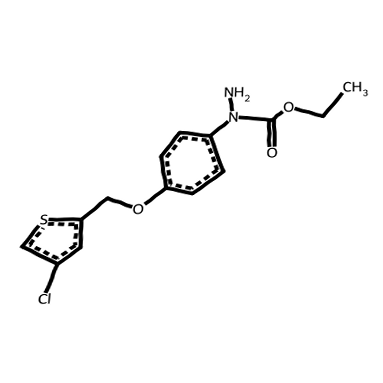 CCOC(=O)N(N)c1ccc(OCc2cc(Cl)cs2)cc1